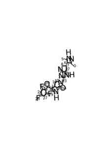 Cc1n[nH]c(C)c1-c1cnc2nc(Cn3ccc4c(C(=O)c5c(F)cc(F)cc5F)c[nH]c4c3=O)[nH]c2c1